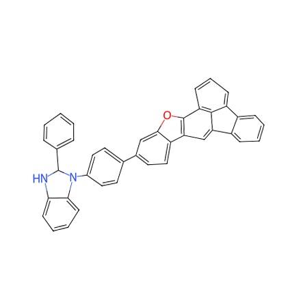 c1ccc(C2Nc3ccccc3N2c2ccc(-c3ccc4c(c3)oc3c5cccc6c5c(cc43)-c3ccccc3-6)cc2)cc1